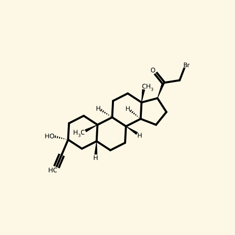 C#C[C@@]1(O)CC[C@@]2(C)[C@H](CC[C@@H]3[C@@H]2CC[C@]2(C)[C@@H](C(=O)CBr)CC[C@@H]32)C1